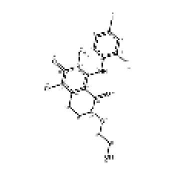 Cn1c(Nc2ccc(I)cc2F)c2c(c(Cl)c1=O)CCN(OCCO)C2=O